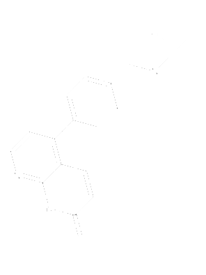 CS(=O)(=O)NCc1ccc(-c2ccnc3[nH]c(=O)ccc23)cc1